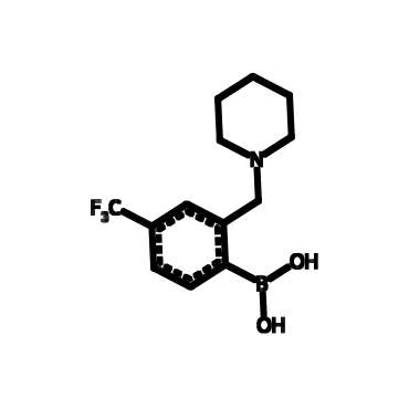 OB(O)c1ccc(C(F)(F)F)cc1CN1CCCCC1